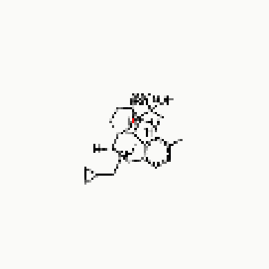 CO[C@@]12CC[C@@]3(C[C@@H]1[C@@](C)(O)C(C)(C)C)[C@H]1Cc4ccc(C)c5c4[C@@]3(CCN1CC1CC1)[C@H]2O5